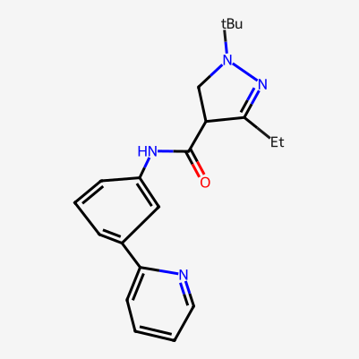 CCC1=NN(C(C)(C)C)CC1C(=O)Nc1cccc(-c2ccccn2)c1